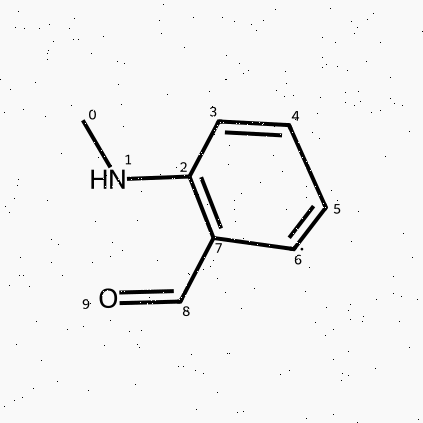 CNc1ccc[c]c1C=O